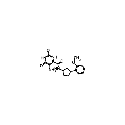 COc1ccccc1C1CCC(NC(=O)c2[nH]c(=O)[nH]c(=O)c2N)C1